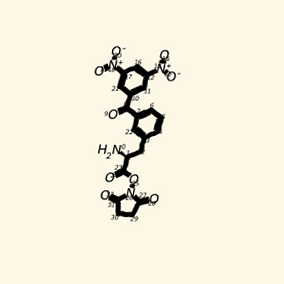 N[C@@H](Cc1cccc(C(=O)c2cc([N+](=O)[O-])cc([N+](=O)[O-])c2)c1)C(=O)ON1C(=O)CCC1=O